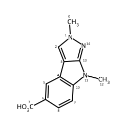 Cn1cc2c3cc(C(=O)O)ccc3n(C)c2n1